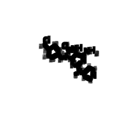 CN(c1ccncc1)c1nc(N)c2[nH]c(=O)n(Cc3ccc(CCl)cc3)c2n1